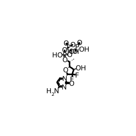 C[C@@H](OP(=O)(O)OP(=O)(O)OP(=O)(O)O)[C@H]1O[C@@H](n2ccc(N)nc2=O)C(F)(F)[C@@H]1O